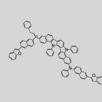 c1ccc(CC[C@H](c2ccc3cc(-c4cc5ccccc5o4)ccc3c2)c2ccc3c(ccc4c5ccc6c(c7ccc8cc(N(c9ccccc9)c9ccc%10cc(-c%11cc%12ccccc%12o%11)ccc%10c9)ccc8c7n6-c6ccccc6)c5n(-c5ccccc5)c34)c2)cc1